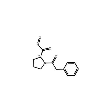 O=NC(=O)[C@@H]1CCCN1C(=O)Cc1ccccc1